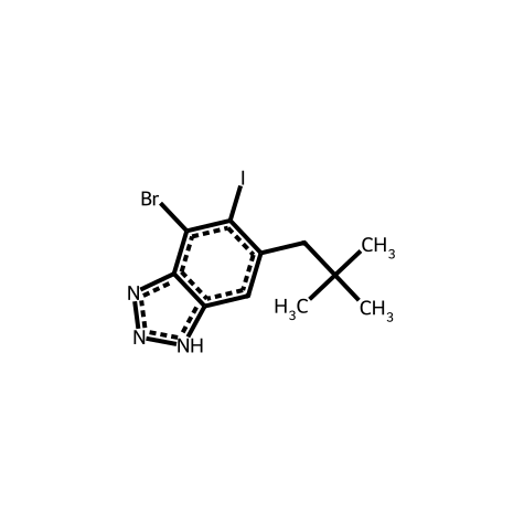 CC(C)(C)Cc1cc2[nH]nnc2c(Br)c1I